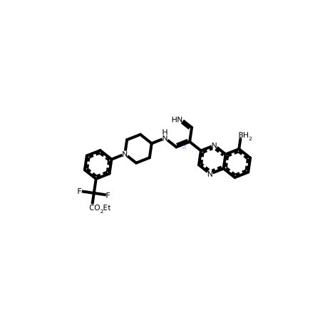 Bc1cccc2ncc(/C(C=N)=C/NC3CCN(c4cccc(C(F)(F)C(=O)OCC)c4)CC3)nc12